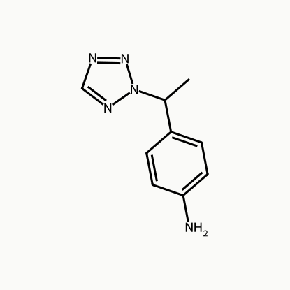 CC(c1ccc(N)cc1)n1ncnn1